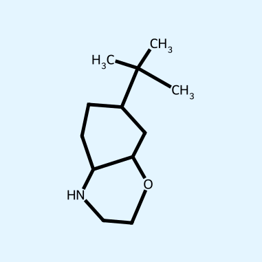 CC(C)(C)C1CCC2NCCOC2C1